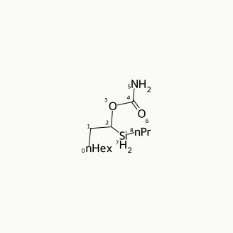 CCCCCCCC(OC(N)=O)[SiH2]CCC